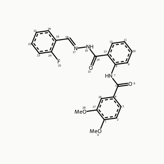 COc1ccc(C(=O)Nc2ccccc2C(=O)NN=Cc2ccccc2F)cc1OC